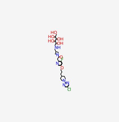 O=C(Cc1ncc(OCCCC2CCN(c3ncc(Cl)cn3)CC2)cc1F)N1CC(CNC[C@H](O)[C@@H](O)[C@H](O)[C@H](O)CO)C1